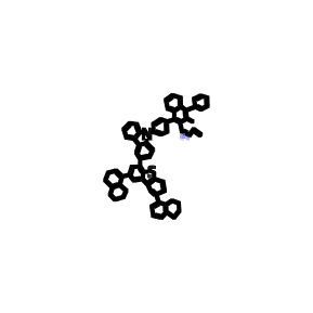 C=C/C=C\c1c(C)c(-c2ccccc2)c2ccccc2c1-c1ccc(-n2c3ccccc3c3cc(-c4cc(C5=CCCC6=C5CCCC6)cc5c4sc4ccc(-c6cccc7c6CCCC7)cc45)ccc32)cc1